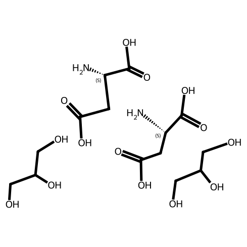 N[C@@H](CC(=O)O)C(=O)O.N[C@@H](CC(=O)O)C(=O)O.OCC(O)CO.OCC(O)CO